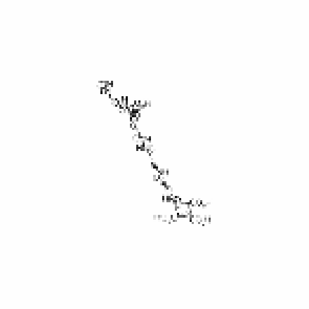 Cc1cc(OCCCC(=O)NCCNC(=O)COCCOCCNC(=O)COCCOCCNC(=O)CN2CCN(CC(=O)O)CCN(CC(=O)O)CCN(CC(=O)O)CC2)cc(C)c1S(=O)(=O)NC(CNC(=O)c1ccc(CCc2ccc3c(n2)NCCC3)cc1)C(=O)O